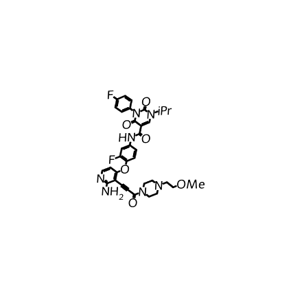 COCCN1CCN(C(=O)C#Cc2c(Oc3ccc(NC(=O)c4cn(C(C)C)c(=O)n(-c5ccc(F)cc5)c4=O)cc3F)ccnc2N)CC1